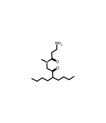 CCCCC(CCCC)C(=O)CN(C)C(=O)CCN